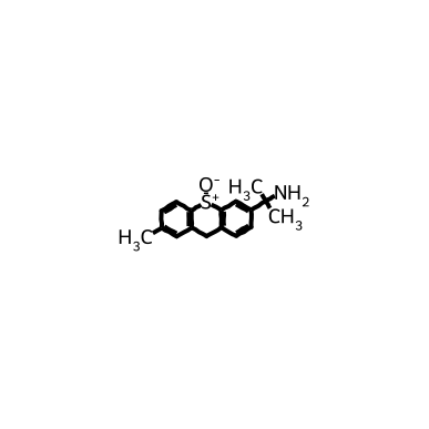 Cc1ccc2c(c1)Cc1ccc(C(C)(C)N)cc1[S+]2[O-]